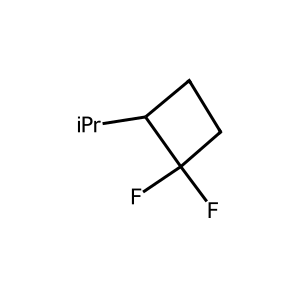 CC(C)C1CCC1(F)F